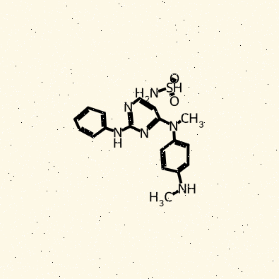 CNc1ccc(N(C)c2ccnc(Nc3ccccc3)n2)cc1.N[SH](=O)=O